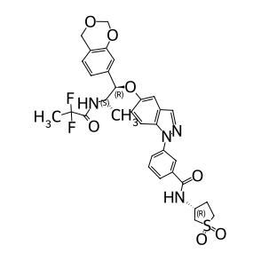 C[C@H](NC(=O)C(C)(F)F)[C@H](Oc1ccc2c(cnn2-c2cccc(C(=O)N[C@@H]3CCS(=O)(=O)C3)c2)c1)c1ccc2c(c1)OCOC2